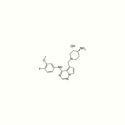 COc1cc(Nc2ncnn3ccc(CN4CC[C@H](N)[C@@H](O)C4)c23)ccc1F